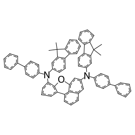 CC1(C)c2ccccc2-c2ccc(N(c3ccc(-c4ccccc4)cc3)c3cc4c5c(cccc5c3)-c3cccc(N(c5ccc(-c6ccccc6)cc5)c5ccc6c(c5)C(C)(C)c5ccccc5-6)c3O4)cc21